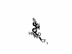 O=C(NCCC(F)(F)F)c1n[nH]c2c1CN(c1ncnc3c1ccn3SF)CC2